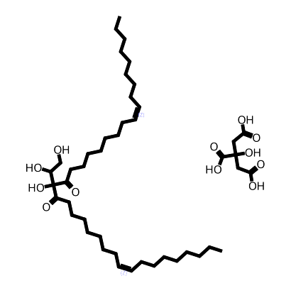 CCCCCCCC/C=C\CCCCCCCC(=O)C(O)(C(=O)CCCCCCC/C=C\CCCCCCCC)C(O)CO.O=C(O)CC(O)(CC(=O)O)C(=O)O